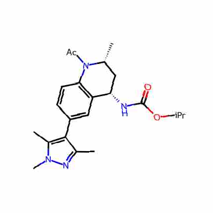 CC(=O)N1c2ccc(-c3c(C)nn(C)c3C)cc2[C@@H](NC(=O)OC(C)C)C[C@H]1C